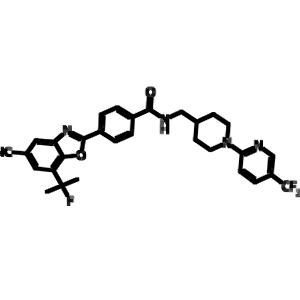 CC(C)(F)c1cc(C#N)cc2nc(-c3ccc(C(=O)NCC4CCN(c5ccc(C(F)(F)F)cn5)CC4)cc3)oc12